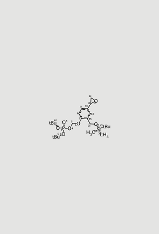 CC(C)(C)OP(=O)(OCOc1ccc(C2CO2)cc1CO[Si](C)(C)C(C)(C)C)OC(C)(C)C